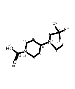 CCN(CC(F)(F)F)C1CCN(C(=O)O)CC1